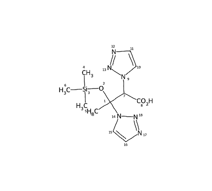 CC(O[Si](C)(C)C)(C(C(=O)O)n1ccnn1)n1ccnn1